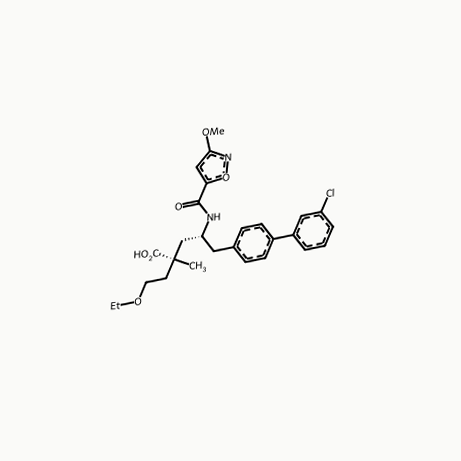 CCOCC[C@](C)(C[C@@H](Cc1ccc(-c2cccc(Cl)c2)cc1)NC(=O)c1cc(OC)no1)C(=O)O